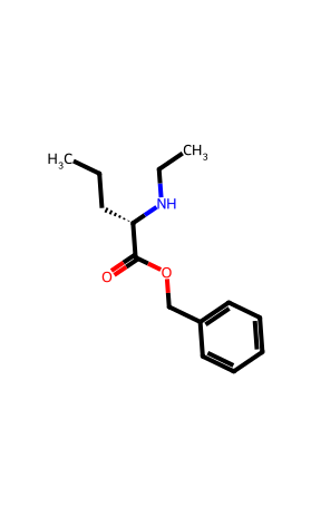 CCC[C@H](NCC)C(=O)OCc1ccccc1